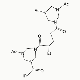 CCC(CCC(=O)N1CN(C(C)=O)CN(C(C)=O)C1)C(=O)N1CN(C(C)=O)CN(C(=O)C(C)C)C1